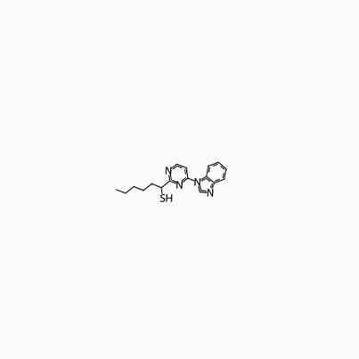 CCCCCC(S)c1nccc(-n2cnc3ccccc32)n1